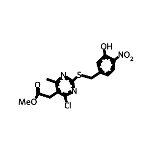 COC(=O)Cc1c(C)nc(SCc2ccc([N+](=O)[O-])c(O)c2)nc1Cl